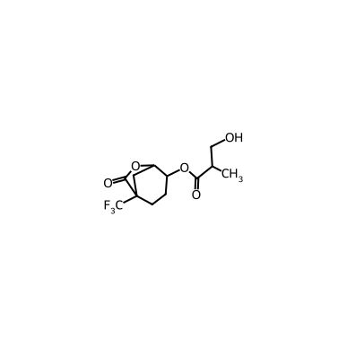 CC(CO)C(=O)OC1CCC2(C(F)(F)F)CC1OC2=O